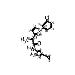 CC(C(=O)Nc1cc(C2CC2)n[nH]1)c1ccn(-c2cccc(Cl)c2)n1